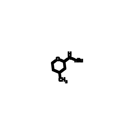 CCCCNC1CC(C)CCO1